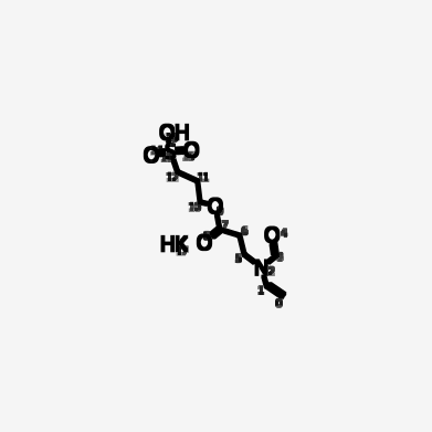 C=CN(C=O)CCC(=O)OCCCS(=O)(=O)O.[KH]